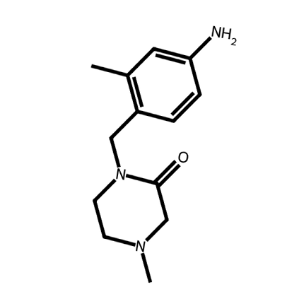 Cc1cc(N)ccc1CN1CCN(C)CC1=O